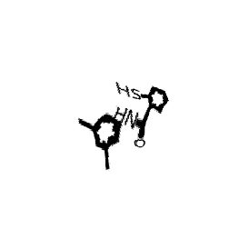 Cc1cc(C)cc(NC(=O)c2ccccc2S)c1